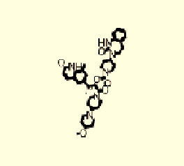 COC1CCN(C2CCN(C(=O)C(OC(=O)N3CCC(N4CCc5ccccc5NC4=O)CC3)[C@H](C)c3cc(C)c4[nH]c(=O)ccc4c3)CC2)CC1